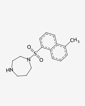 Cc1cccc2c(S(=O)(=O)N3CCCNCC3)cccc12